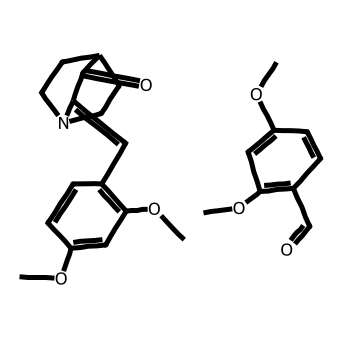 COc1ccc(C=C2C(=O)C3CCN2CC3)c(OC)c1.COc1ccc(C=O)c(OC)c1